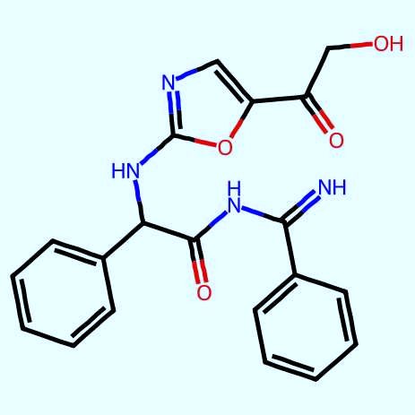 N=C(NC(=O)C(Nc1ncc(C(=O)CO)o1)c1ccccc1)c1ccccc1